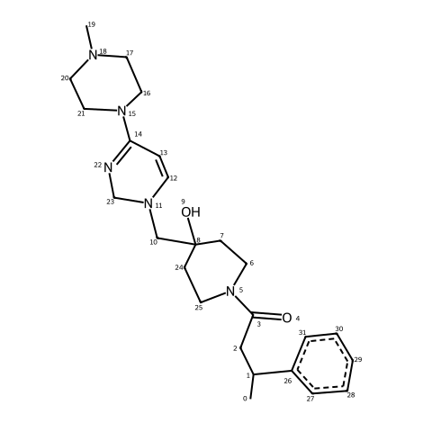 CC(CC(=O)N1CCC(O)(CN2C=CC(N3CCN(C)CC3)=NC2)CC1)c1ccccc1